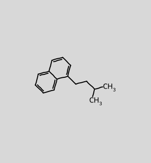 CC(C)CCc1cccc2ccccc12